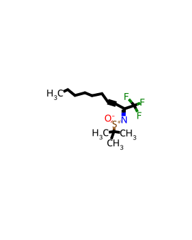 CCCCCCC#CC(=N[S+]([O-])C(C)(C)C)C(F)(F)F